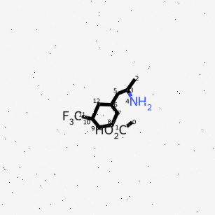 CC(=O)O.CC(N)CC1CCCC(C(F)(F)F)C1